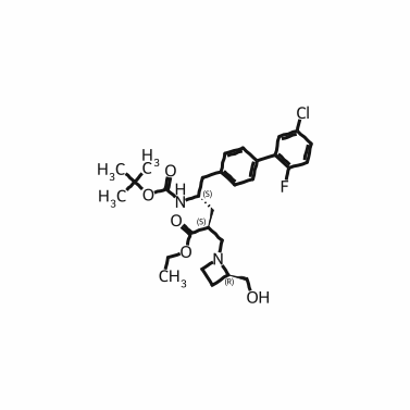 CCOC(=O)[C@@H](C[C@@H](Cc1ccc(-c2cc(Cl)ccc2F)cc1)NC(=O)OC(C)(C)C)CN1CC[C@@H]1CO